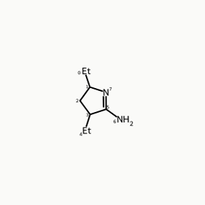 CCC1CC(CC)C(N)=N1